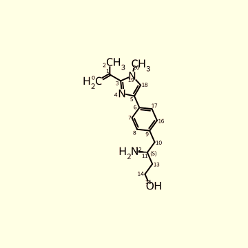 C=C(C)c1nc(-c2ccc(C[C@H](N)CCO)cc2)cn1C